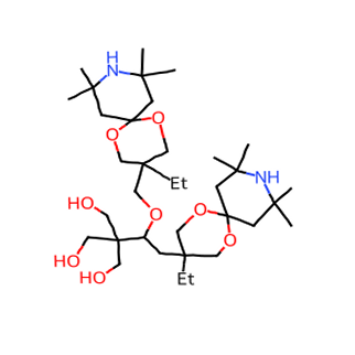 CCC1(COC(CC2(CC)COC3(CC(C)(C)NC(C)(C)C3)OC2)C(CO)(CO)CO)COC2(CC(C)(C)NC(C)(C)C2)OC1